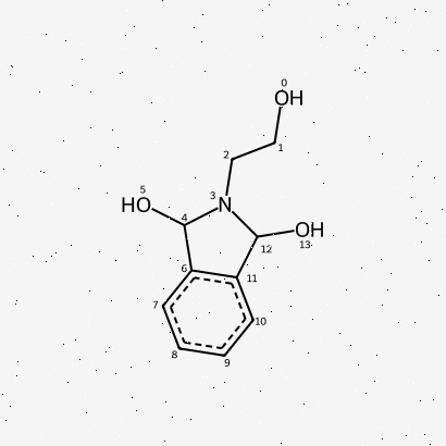 OCCN1C(O)c2ccccc2C1O